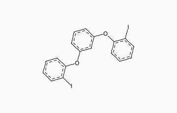 Ic1ccccc1Oc1cccc(Oc2ccccc2I)c1